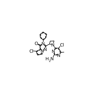 Cc1nc(N)nc(N2CCC2c2nn3ccc(Cl)c3c(=O)n2-c2ccccc2)c1Cl